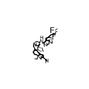 CCn1c(C#N)cc2c(Cl)c(CN3CCC(Nc4ncnc5sc(CC(F)(F)F)cc45)CC3)ccc21